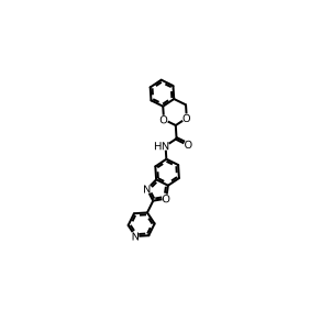 O=C(Nc1ccc2oc(-c3ccncc3)nc2c1)C1OCc2ccccc2O1